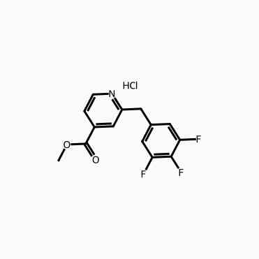 COC(=O)c1ccnc(Cc2cc(F)c(F)c(F)c2)c1.Cl